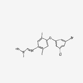 CCCN(C)/C=N/c1cc(C)c(Oc2cc(Cl)cc(Br)c2)cc1C